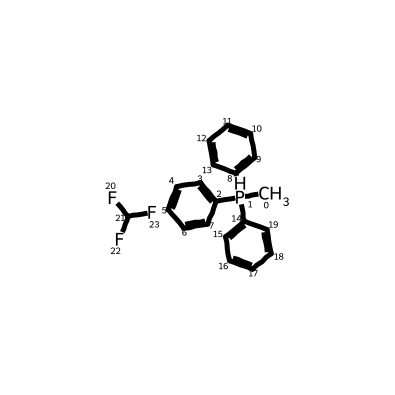 C[PH](c1ccccc1)(c1ccccc1)c1ccccc1.FC(F)F